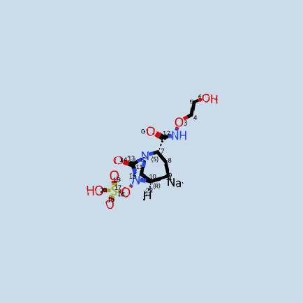 O=C(NOCCO)[C@@H]1CC[C@@H]2CN1C(=O)N2OS(=O)(=O)O.[Na]